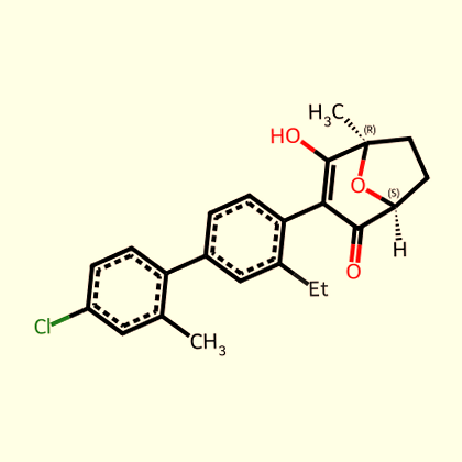 CCc1cc(-c2ccc(Cl)cc2C)ccc1C1=C(O)[C@@]2(C)CC[C@H](O2)C1=O